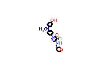 CN(c1ccc(O)cc1)c1ccc(-n2ncc(NC[C@H]3CCCOC3)c(Cl)c2=O)cc1